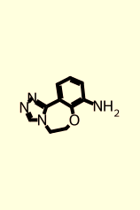 Nc1cccc2c1OCCn1cnnc1-2